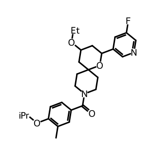 CCOC1CC(c2cncc(F)c2)OC2(CCN(C(=O)c3ccc(OC(C)C)c(C)c3)CC2)C1